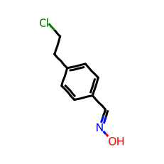 O/N=C/c1ccc(CCCl)cc1